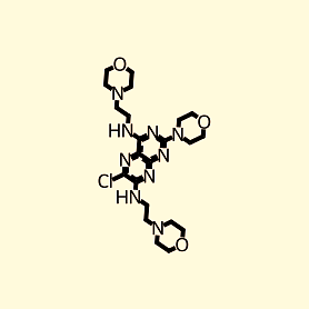 Clc1nc2c(NCCN3CCOCC3)nc(N3CCOCC3)nc2nc1NCCN1CCOCC1